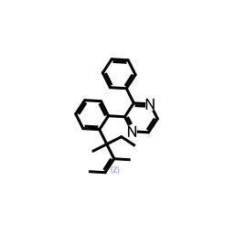 C/C=C(/C)C(C)(CC)c1ccccc1-c1nccnc1-c1ccccc1